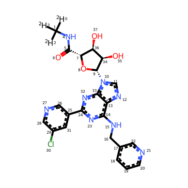 [2H]C([2H])([2H])NC(=O)[C@H]1O[C@@H](n2cnc3c(NCc4cccnc4)nc(-c4cncc(Cl)c4)nc32)[C@H](O)[C@@H]1O